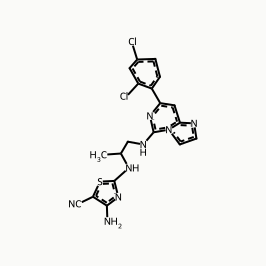 CC(CNc1nc(-c2ccc(Cl)cc2Cl)cc2nccn12)Nc1nc(N)c(C#N)s1